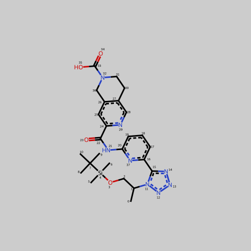 CC(CO[Si](C)(C)C(C)(C)C)n1nnnc1-c1cccc(NC(=O)c2cc3c(cn2)CCN(C(=O)O)C3)n1